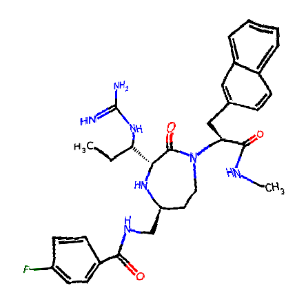 CCC(NC(=N)N)[C@H]1N[C@H](CNC(=O)c2ccc(F)cc2)CCN([C@@H](Cc2ccc3ccccc3c2)C(=O)NC)C1=O